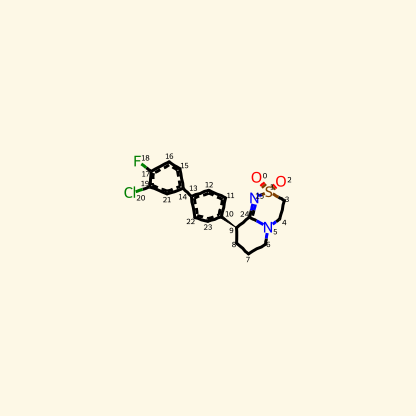 O=S1(=O)CCN2CCC[C@@H](c3ccc(-c4ccc(F)c(Cl)c4)cc3)C2=N1